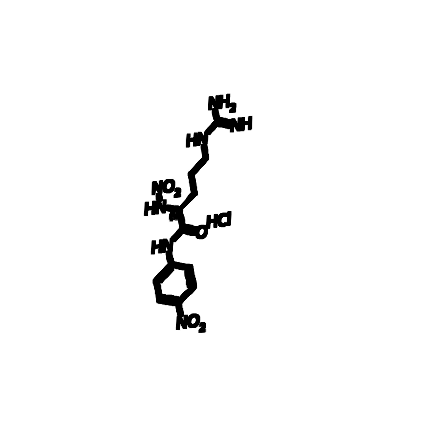 Cl.N=C(N)NCCC[C@H](N[N+](=O)[O-])C(=O)Nc1ccc([N+](=O)[O-])cc1